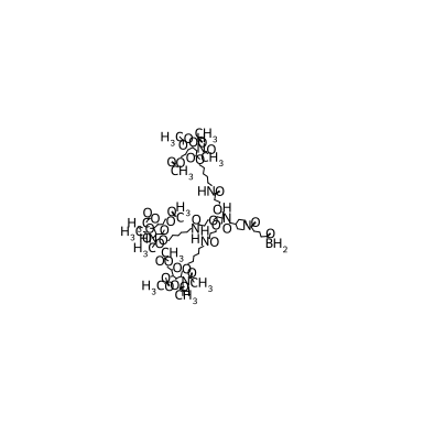 BC(=O)CCCC(=O)N1CCC(C(=O)NC(COCCC(=O)NCCCCCCOC2OC(COC(C)=O)C(OC(C)=O)C(OC(C)=O)C2NC(C)=O)(COCCC(=O)NCCCCCCOC2OC(COC(C)=O)C(OC(C)=O)C(OC(C)=O)C2NC(C)=O)COCCC(=O)NCCCCCCOC2OC(COC(C)=O)C(OC(C)=O)C(OC(C)=O)C2NC(C)=O)CC1